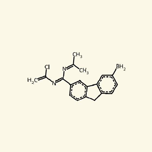 Bc1ccc2c(c1)-c1cc(/C(N=C(C)C)=N/C(=C)Cl)ccc1C2